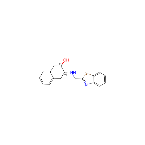 O[C@@H]1Cc2ccccc2C[C@H]1NCc1nc2ccccc2s1